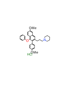 COc1ccc(-c2c(CCCN3CCCCC3)cc3cc(OC)ccc3c2Oc2ccccc2)cc1.Cl